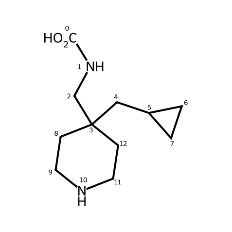 O=C(O)NCC1(CC2CC2)CCNCC1